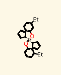 CCc1cccc([O][Zr]([O]c2cccc(CC)c2)([CH]2C=CC=C2)[CH]2C=CC=C2)c1